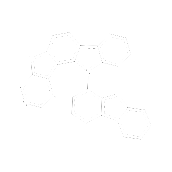 c1ccc2c(c1)sc1c(-n3c4ccccc4c4ccc5sc6cncnc6c5c43)cccc12